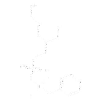 CCCCC(CC)COP(=O)(O)OP(=O)(O)Oc1ccccc1